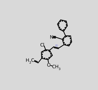 C=Cc1cc(Cl)c(/C=C/c2cccc(-c3ccccc3)c2C#N)cc1OC